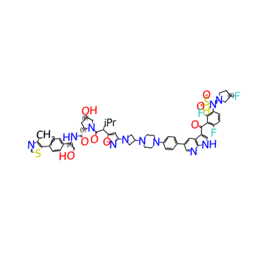 Cc1ncsc1-c1ccc([C@H](CO)NC(=O)[C@@H]2C[C@@H](O)CN2C(=O)C(c2cc(N3CC(N4CCN(c5ccc(-c6cnc7[nH]cc(C(=O)c8c(F)ccc(N(N9CC[C@@H](F)C9)[SH](=O)=O)c8F)c7c6)cc5)CC4)C3)no2)C(C)C)cc1